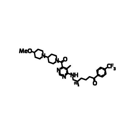 COC1CCN(C2CCN(C(=O)c3ncnc(NC[C@H](C)CCCC(=O)c4ccc(C(F)(F)F)cc4)c3C)CC2)CC1